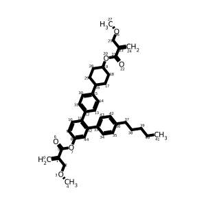 C=C(COC)C(=O)Oc1ccc(-c2ccc(C3CCC(OC(=O)C(=C)COC)CC3)cc2)c(-c2ccc(CCCCC)cc2)c1